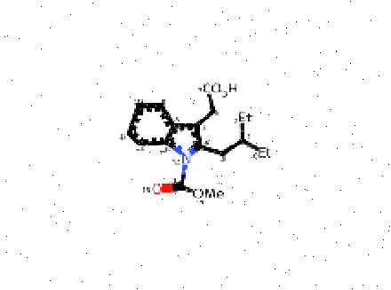 CCC(CC)Cc1c(CC(=O)O)c2ccccc2n1C(=O)OC